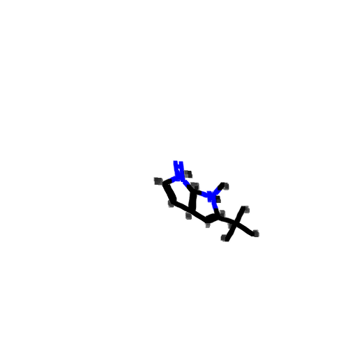 Cn1c(C(C)(C)C)cc2cc[nH]c21